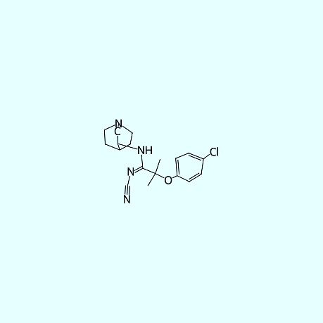 CC(C)(Oc1ccc(Cl)cc1)C(=NC#N)NC1CN2CCC1CC2